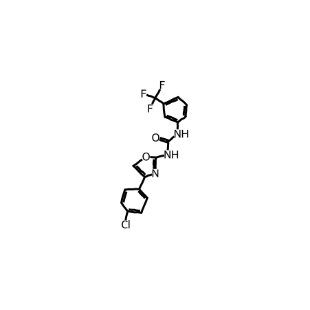 O=C(Nc1cccc(C(F)(F)F)c1)Nc1nc(-c2ccc(Cl)cc2)co1